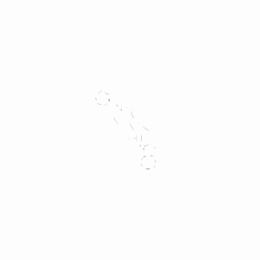 CC12CCC/C(=C3\CC(=O)C(C4=C5Nc6ccccc6C5(C)CCC4)=C3O)C1=Nc1ccccc12